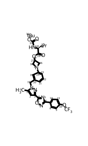 Cc1cc(-c2nc(-c3ccc(OC(F)(F)F)cc3)no2)nn1Cc1cccc(N2CC(OC(=O)[C@@H](NC(=O)OC(C)(C)C)C(C)C)C2)c1